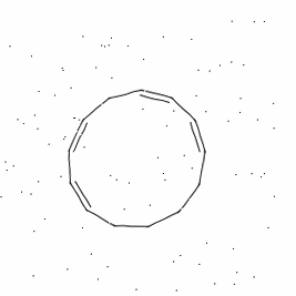 [C]1=CC=CCCCCC=CC=CC1